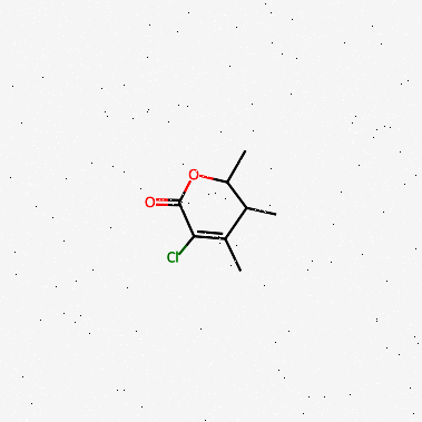 CC1=C(Cl)C(=O)OC(C)C1C